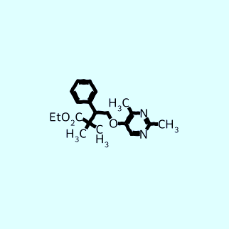 CCOC(=O)C(C)(C)C(COc1cnc(C)nc1C)c1ccccc1